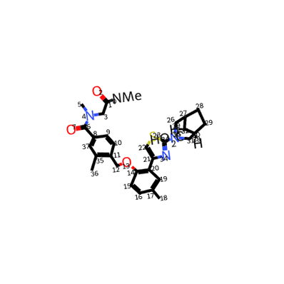 CNC(=O)CN(C)C(=O)c1ccc(COc2ccc(C)cc2-c2csc(N3CC4CC[C@H](C3)[C@@H]4C(=O)O)n2)c(C)c1